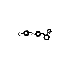 Clc1ccc(COc2ccc(C=C3CCCCC3N3CCC3)cc2)cc1